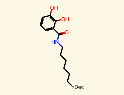 CCCCCCCCCCCCCCCCNC(=O)c1cccc(O)c1O